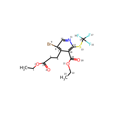 CCOC(=O)CCc1c(Br)cnc(SC(F)(F)F)c1C(=O)OCC